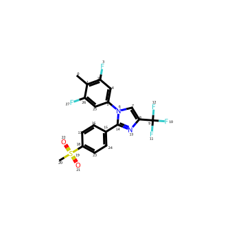 Cc1c(F)cc(-n2cc(C(F)(F)F)nc2-c2ccc(S(C)(=O)=O)cc2)cc1F